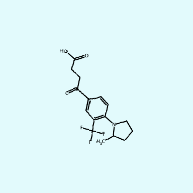 CC1CCCN1c1ccc(C(=O)CCC(=O)O)cc1C(F)(F)F